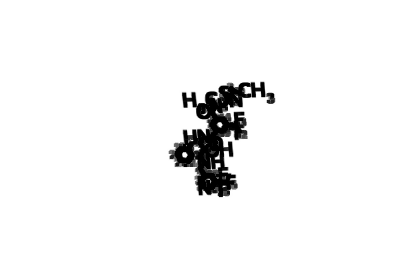 Cc1csc(CN(C)C(=O)c2cc(C(=O)N[C@@H](Cc3ccccc3)[C@H](O)CNCc3cncc(C(F)(F)F)c3)cc(C(F)F)c2)n1